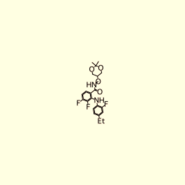 CCc1ccc(Nc2c(C(=O)NOC3COC(C)(C)OC3)ccc(F)c2F)c(F)c1